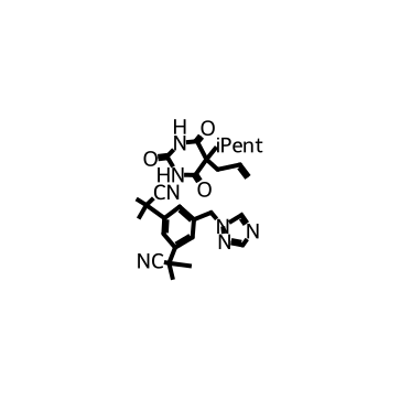 C=CCC1(C(C)CCC)C(=O)NC(=O)NC1=O.CC(C)(C#N)c1cc(Cn2cncn2)cc(C(C)(C)C#N)c1